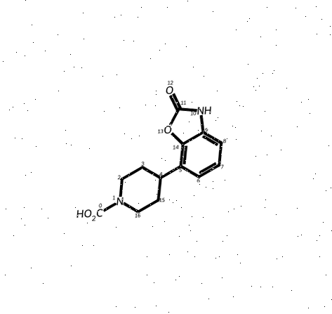 O=C(O)N1CCC(c2cccc3[nH]c(=O)oc23)CC1